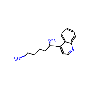 NCCCCC(N)c1ccnc2ccccc12